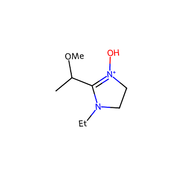 CCN1CC[N+](O)=C1C(C)OC